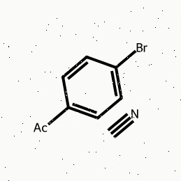 C#N.CC(=O)c1ccc(Br)cc1